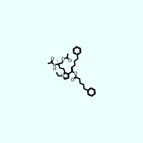 CCn1ccc(C(=CCCCc2ccccc2)OC(=O)CCCCc2ccccc2)c1CC[C@](C)(COC(C)=O)NC(C)=O